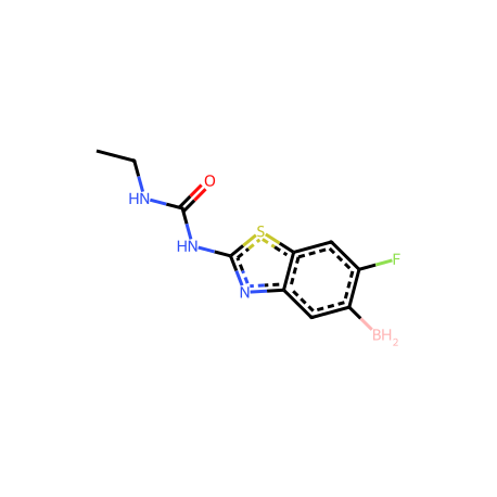 Bc1cc2nc(NC(=O)NCC)sc2cc1F